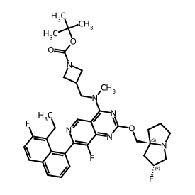 CCc1c(F)ccc2cccc(-c3ncc4c(N(C)CC5CN(C(=O)OC(C)(C)C)C5)nc(OC[C@@]56CCCN5C[C@H](F)C6)nc4c3F)c12